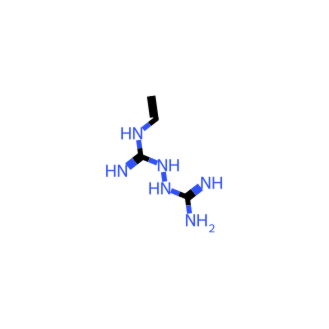 C=CNC(=N)NNC(=N)N